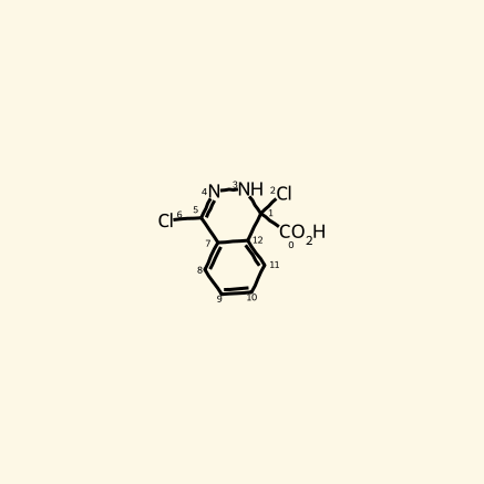 O=C(O)C1(Cl)NN=C(Cl)c2ccccc21